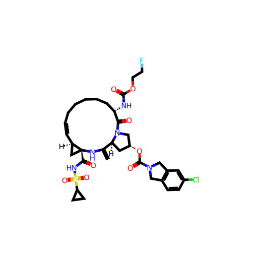 C=C1N[C@]2(C(=O)NS(=O)(=O)C3CC3)C[C@H]2/C=C\CCCCC[C@H](NC(=O)OCCF)C(=O)N2C[C@H](OC(=O)N3Cc4ccc(Cl)cc4C3)C[C@@H]12